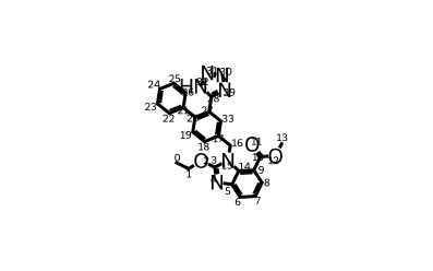 CCOc1nc2cccc(C(=O)OC)c2n1Cc1ccc(-c2ccccc2)c(-c2nnn[nH]2)c1